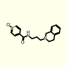 O=C(NCCCN1CCc2ccccc2C1)c1cc[n+]([O-])cc1